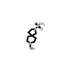 CC(C)(C)N1CCC2(CC1)CCN(S(C)(=O)=O)C2